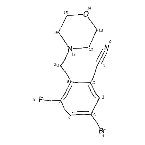 N#Cc1cc(Br)cc(F)c1CN1CCOCC1